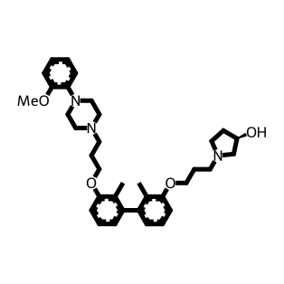 COc1ccccc1N1CCN(CCCOc2cccc(-c3cccc(OCCCN4CC[C@@H](O)C4)c3C)c2C)CC1